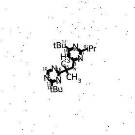 CC(C)c1nc(CC(C)(C)c2ncnc(C(C)(C)C)n2)cc(C(C)(C)C)n1